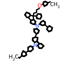 C=Cc1ccc(OCCCCC2(c3ccccc3)c3ccccc3-c3ccc(N(c4ccc(-c5ccc6c(c5)c5ccccc5n6-c5ccc(-c6ccc(C=C)cc6)cc5)cc4)c4cccc(-c5ccccc5)c4)cc32)cc1